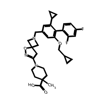 CC1(C(=O)O)CCN(C2=NOC3(C2)CN(Cc2cc(OCC4CC4)c(-c4ccc(F)cc4F)c(C4CC4)c2)C3)CC1